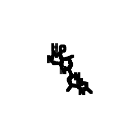 Cc1cn2nc(-c3cc(C)c4c(=O)[nH]ncc4n3)cc(C)c2n1